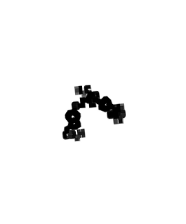 CCS(=O)(=O)Nc1ccc(-c2nc(CCOc3ccc4c(c3)CC[C@H]4CC(=O)O)c(C)o2)cc1